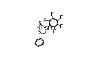 Fc1c(F)c(F)c([SH]2C[C@H](c3ccccc3)S[PH]2=S)c(F)c1F